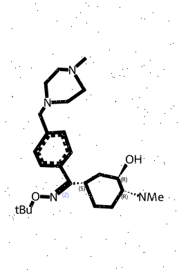 CN[C@@H]1CC[C@H](/C(=N/OC(C)(C)C)c2ccc(CN3CCN(C)CC3)cc2)C[C@H]1O